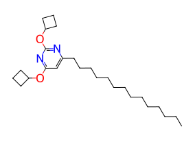 CCCCCCCCCCCCCCc1cc(OC2CCC2)nc(OC2CCC2)n1